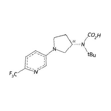 CC(C)(C)N(C(=O)O)[C@H]1CCN(c2ccc(C(F)(F)F)nc2)C1